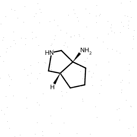 N[C@@]12CCC[C@@H]1CNC2